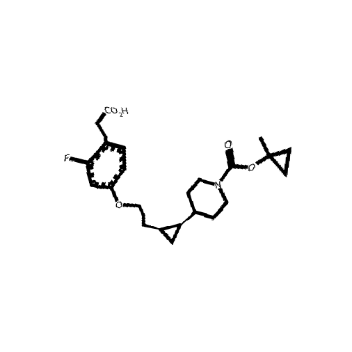 CC1(OC(=O)N2CCC([C@H]3C[C@H]3CCOc3ccc(CC(=O)O)c(F)c3)CC2)CC1